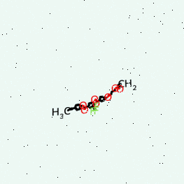 C=CC(=O)OCCCCOc1ccc(C(=O)Oc2ccc(C(=O)Oc3ccc(C#CC)cc3)cc2C(F)(F)F)cc1